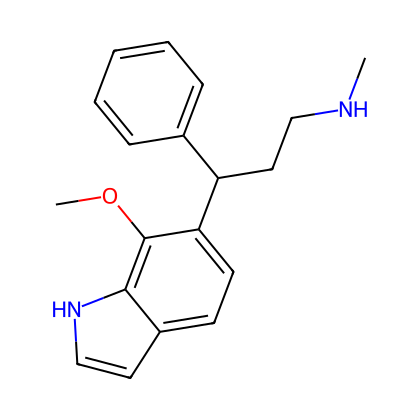 CNCCC(c1ccccc1)c1ccc2cc[nH]c2c1OC